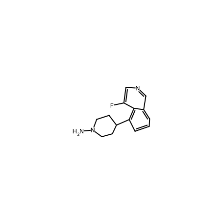 NN1CCC(c2cccc3cncc(F)c23)CC1